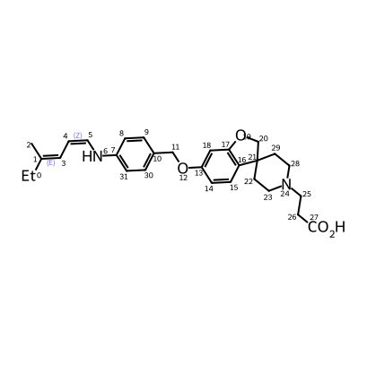 CC/C(C)=C/C=C\Nc1ccc(COc2ccc3c(c2)OCC32CCN(CCC(=O)O)CC2)cc1